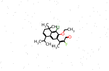 CCOc1c(/C(C)=C(/F)C=O)cc2c(c1Cl)C(C)(C)CC=C2C(C)C